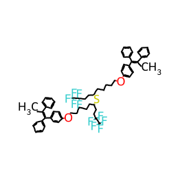 CCC(=C(c1ccccc1)c1ccc(OCCCCCC(CCC(F)(F)C(F)(F)F)SC(CCCCCOc2ccc(C(=C(CC)c3ccccc3)c3ccccc3)cc2)CCC(F)(F)C(F)(F)F)cc1)c1ccccc1